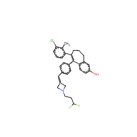 Cc1c(Cl)cccc1C1=C(c2ccc(C=C3CN(CCC(F)F)C3)cc2)c2ccc(O)cc2CCC1